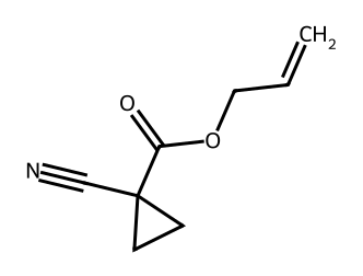 C=CCOC(=O)C1(C#N)CC1